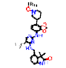 CC(C)(C)ON1CCCC(c2ccc(Nc3ncc(C(F)(F)F)c(NCc4cccc5c4C(C)(C)C(=O)N5)n3)c3c2OCO3)C1